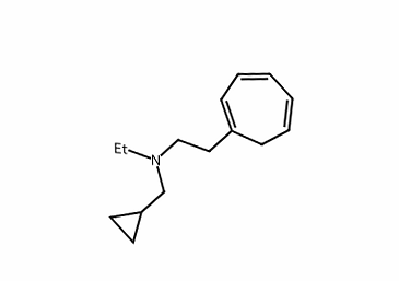 CCN(CCC1=CC=CC=CC1)CC1CC1